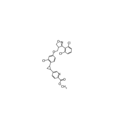 COC(=O)c1ccc(C2CC2c2ccc(OCC3CON=C3c3c(Cl)cccc3Cl)cc2Cl)cn1